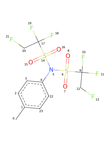 Cc1ccc(N(S(=O)(=O)C(F)(F)CF)S(=O)(=O)C(F)(F)CF)cc1